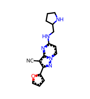 N#Cc1c(-c2ccco2)nn2ccc(NCC3CCCN3)nc12